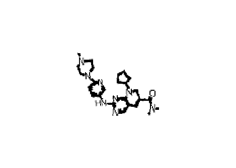 CN1CCN(c2ccc(Nc3ncc4c(n3)N(C3CCCC3)CC(C(=O)N(C)C)=C4)cn2)CC1